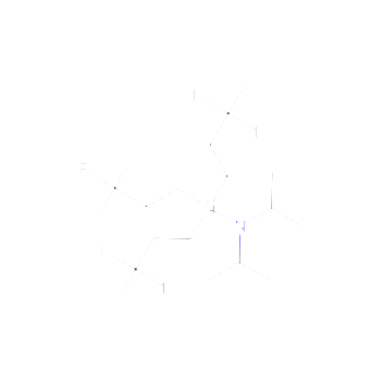 CC(C)N(C(C)C)[Si](CCC(F)(F)F)(CCC(F)(F)F)CCC(F)(F)F